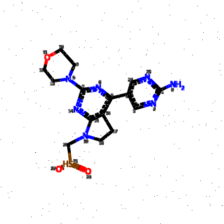 Nc1ncc(-c2nc(N3CCOCC3)nc3c2CCN3C[SH](=O)=O)cn1